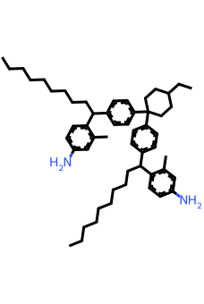 CCCCCCCCCC(c1ccc(C2(c3ccc(C(CCCCCCCCC)c4ccc(N)cc4C)cc3)CCC(CC)CC2)cc1)c1ccc(N)cc1C